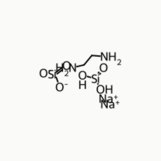 NCCN.O=[Si](O)O.O=[Si]([O-])[O-].[Na+].[Na+]